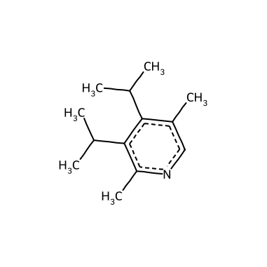 Cc1cnc(C)c(C(C)C)c1C(C)C